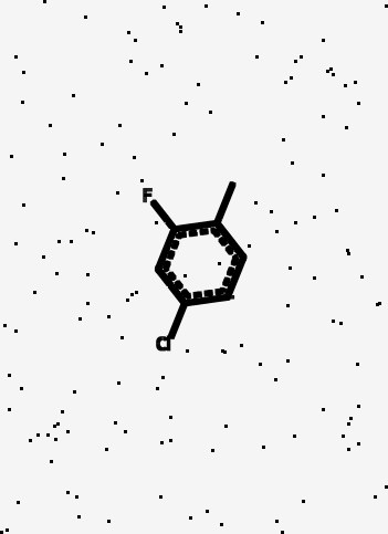 Cc1c[c]c(Cl)cc1F